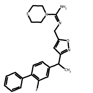 CC(c1ccc(-c2ccccc2)c(F)c1)c1cc(CN=C(N)N2CCSCC2)on1